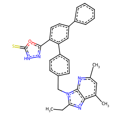 CCc1nc2c(C)cc(C)nc2n1Cc1ccc(-c2cc(-c3ccccc3)ccc2-c2n[nH]c(=S)o2)cc1